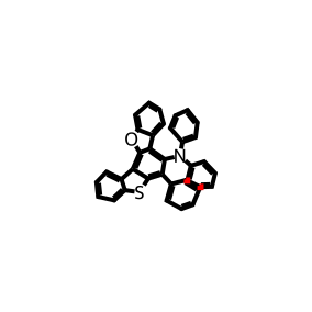 c1ccc(-c2c(N(c3ccccc3)c3ccccc3)c3c4ccccc4oc3c3c2sc2ccccc23)cc1